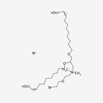 CCCCCCCC/C=C\CCCCCCCCOCC(C[N+](C)(C)CCOCCBr)OCCCCCCCC/C=C\CCCCCCCC.[Br-]